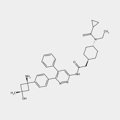 CCN(C(=O)C1CC1)[C@H]1CC[C@H](CC(=O)Nc2cc(-c3ccccc3)c(-c3ccc([C@]4(N)C[C@](C)(O)C4)cc3)nn2)CC1